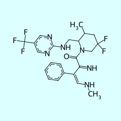 CN/C=C(\C(=N)C(=O)N1CC(F)(F)CC(C)C1CNc1ncc(C(F)(F)F)cn1)c1ccccc1